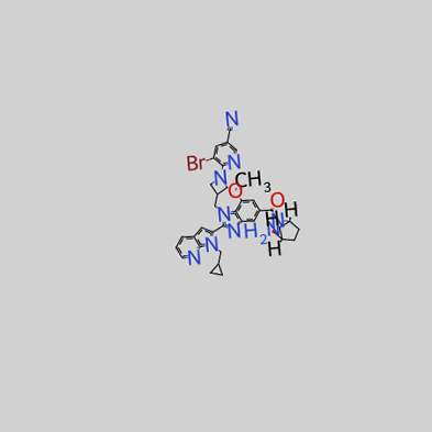 COc1cc(C(=O)N2C[C@H]3CC[C@@H]2[C@@H]3N)cc2nc(-c3cc4cccnc4n3CC3CC3)n(CC3CN(c4ncc(C#N)cc4Br)C3)c12